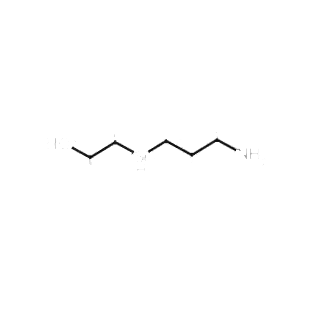 NCCC[SiH2]CCO